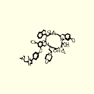 COC[C@@H]1NC(=O)[C@H](CCN2CCOCC2)N(Cc2ccc(Cl)cc2Oc2ccc(-c3cnc(CN(C)C)n3C)cc2)C(=O)C[C@@H]([C@H]2CCc3ccccc32)C(=O)N(C)C[C@@H](Cc2ccc(Cl)cc2)N(C)C1O